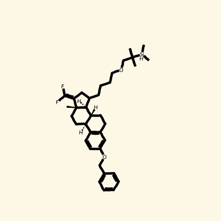 C[SiH](C)C(C)(C)COCCCCC1CC(=C(F)F)[C@@]2(C)CC[C@@H]3c4ccc(OCc5ccccc5)cc4CC[C@H]3[C@H]12